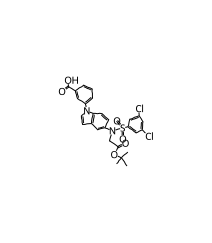 CC(C)(C)OC(=O)CN(c1ccc2c(ccn2-c2cccc(C(=O)O)c2)c1)S(=O)(=O)c1cc(Cl)cc(Cl)c1